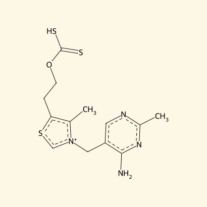 Cc1ncc(C[n+]2csc(CCOC(=S)S)c2C)c(N)n1